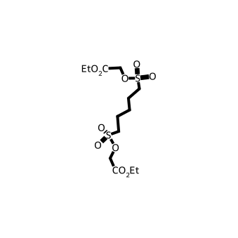 CCOC(=O)COS(=O)(=O)CCCCCS(=O)(=O)OCC(=O)OCC